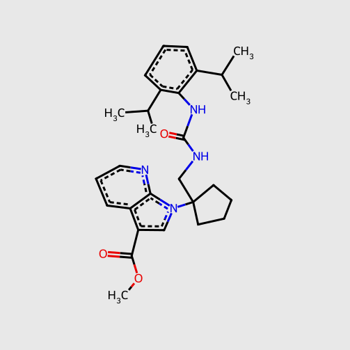 COC(=O)c1cn(C2(CNC(=O)Nc3c(C(C)C)cccc3C(C)C)CCCC2)c2ncccc12